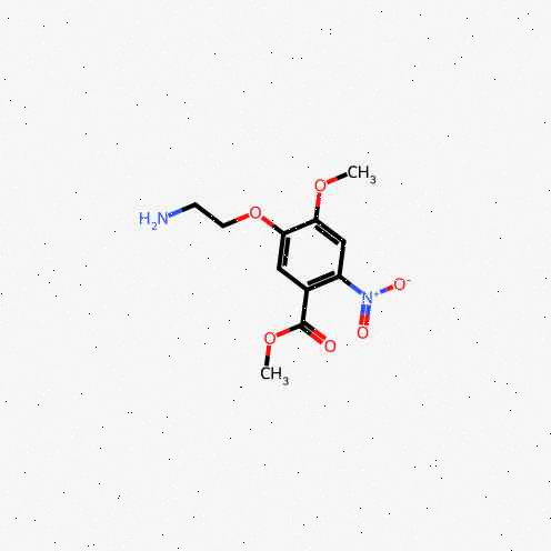 COC(=O)c1cc(OCCN)c(OC)cc1[N+](=O)[O-]